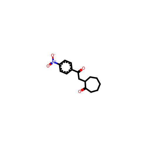 O=C(CC1CCCCCC1=O)c1ccc([N+](=O)[O-])cc1